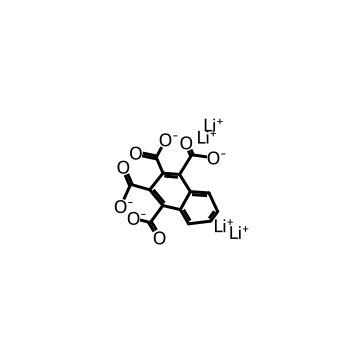 O=C([O-])c1c(C(=O)[O-])c(C(=O)[O-])c2ccccc2c1C(=O)[O-].[Li+].[Li+].[Li+].[Li+]